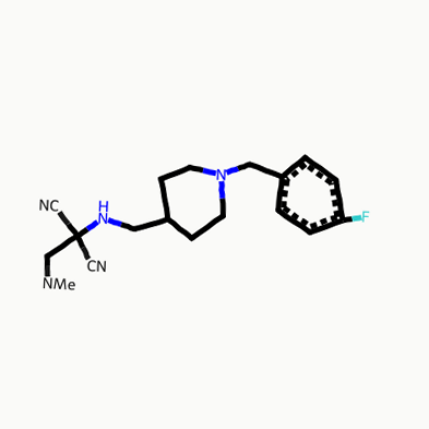 CNCC(C#N)(C#N)NCC1CCN(Cc2ccc(F)cc2)CC1